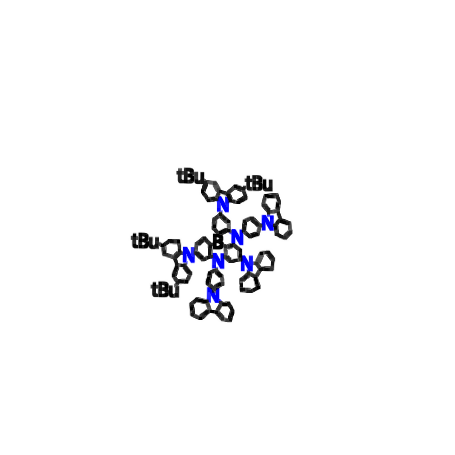 CC(C)(C)c1ccc2c(c1)c1cc(C(C)(C)C)ccc1n2-c1ccc2c(c1)N(c1ccc(-n3c4ccccc4c4ccccc43)cc1)c1cc(-n3c4ccccc4c4ccccc43)cc3c1B2c1ccc(-n2c4ccc(C(C)(C)C)cc4c4cc(C(C)(C)C)ccc42)cc1N3c1ccc(-n2c3ccccc3c3ccccc32)cc1